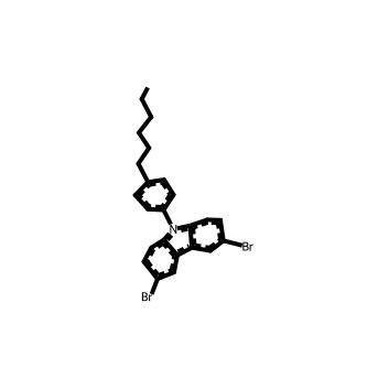 CCCCCCc1ccc(-n2c3ccc(Br)cc3c3cc(Br)ccc32)cc1